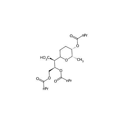 CCCC(=O)OC[C@H](OC(=O)CCC)[C@@H](C(=O)O)C1CC[C@H](OC(=O)CCC)[C@H](C)O1